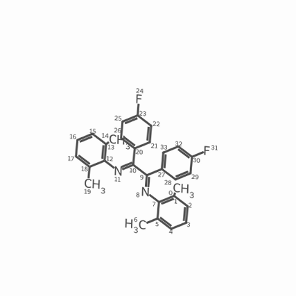 Cc1cccc(C)c1/N=C(/C(=N/c1c(C)cccc1C)c1ccc(F)cc1)c1ccc(F)cc1